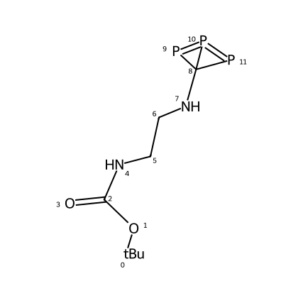 CC(C)(C)OC(=O)NCCNC12P=P1=P2